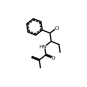 C=C(C)C(=O)NC(CC)C(Cl)c1ccccc1